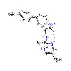 CC1(N2CCc3[nH]c4ccc(-c5ccc(C=O)cc5)cc4c3C2)N=CC(C(=O)O)=CN1